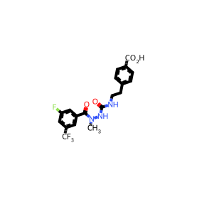 CN(NC(=O)NCCc1ccc(C(=O)O)cc1)C(=O)c1cc(F)cc(C(F)(F)F)c1